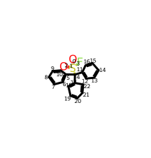 O=S(=O)(F)C(c1ccccc1)(c1ccccc1)c1ccccc1